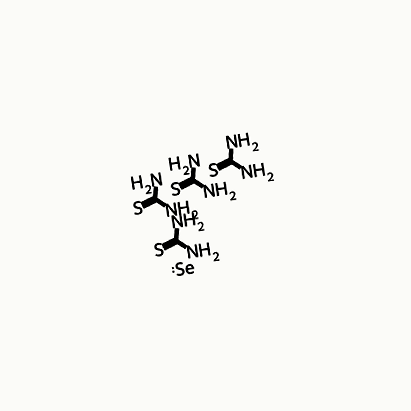 NC(N)=S.NC(N)=S.NC(N)=S.NC(N)=S.[Se]